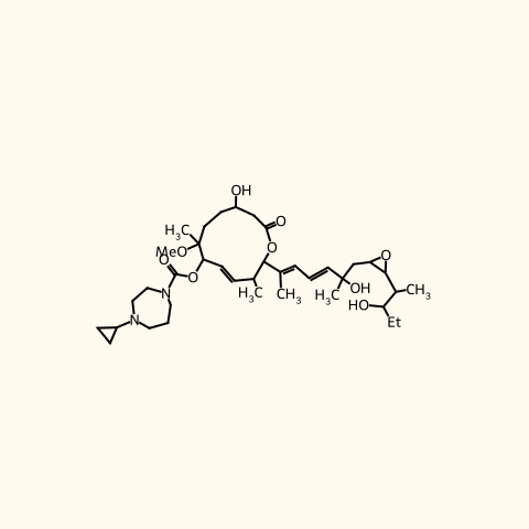 CCC(O)C(C)C1OC1CC(C)(O)/C=C/C=C(\C)C1OC(=O)CC(O)CCC(C)(OC)C(OC(=O)N2CCCN(C3CC3)CC2)/C=C/C1C